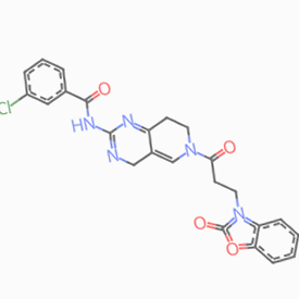 O=C(NC1=NCC2=CN(C(=O)CCn3c(=O)oc4ccccc43)CCC2=N1)c1cccc(Cl)c1